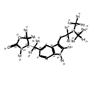 [2H]c1c(CC([2H])([2H])N(C([2H])([2H])[2H])C([2H])([2H])[2H])c2cc(C([2H])([2H])[C@@H]3N([2H])C(=O)OC3([2H])[2H])ccc2n1[2H]